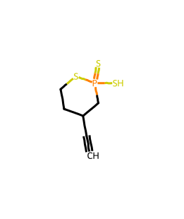 C#CC1CCSP(=S)(S)C1